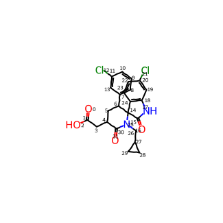 O=C(O)CC1CC(c2cccc(Cl)c2)C2(C(=O)Nc3cc(Cl)ccc32)N(CC2CC2)C1=O